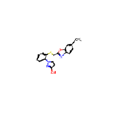 Cc1ccc2nc(CSc3ccccc3N3CCC(O)=N3)oc2c1